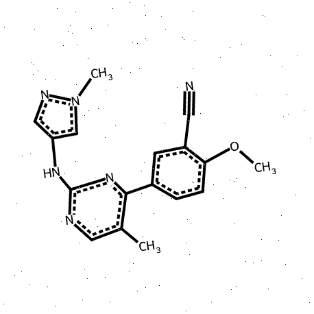 COc1ccc(-c2nc(Nc3cnn(C)c3)ncc2C)cc1C#N